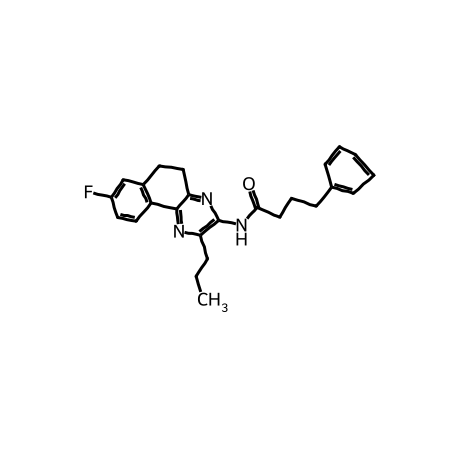 CCCc1nc2c(nc1NC(=O)CCCc1ccccc1)CCc1cc(F)ccc1-2